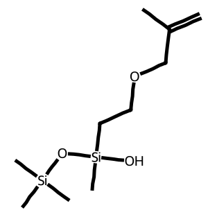 C=C(C)COCC[Si](C)(O)O[Si](C)(C)C